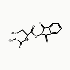 CC(C)COCC(NC(=O)OC(C)(C)C)C(=O)ON1C(=O)c2ccccc2C1=O